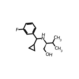 CC(C)[C@@H](CO)NC(c1cccc(F)c1)C1CC1